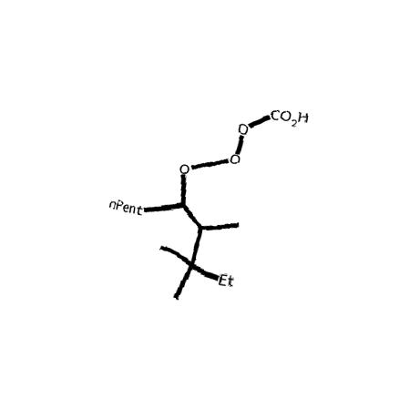 CCCCCC(OOOC(=O)O)C(C)C(C)(C)CC